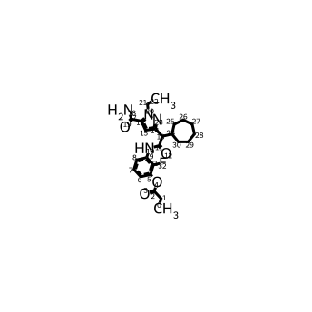 CCC(=O)Oc1cccc(NC(=O)C(c2cc(C(N)=O)n(CC)n2)C2CCCCCC2)c1F